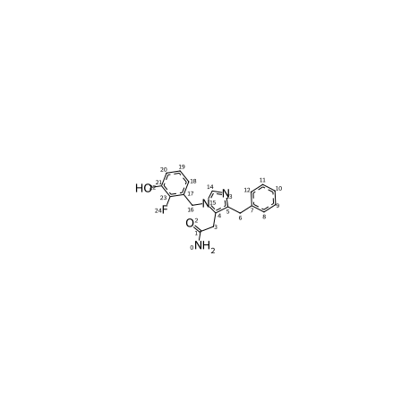 NC(=O)Cc1c(Cc2ccccc2)ncn1Cc1cccc(O)c1F